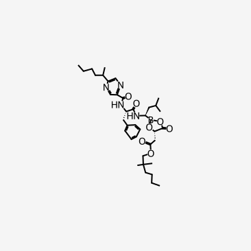 CCCCC(C)c1cnc(C(=O)N[C@@H](Cc2ccccc2)C(=O)N[C@@H](CC(C)C)B2OC(=O)[C@H](CC(=O)OCC(C)(C)CCCC)O2)cn1